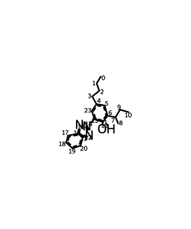 CCCCc1cc(C(C)CC)c(O)c(-n2nc3ccccc3n2)c1